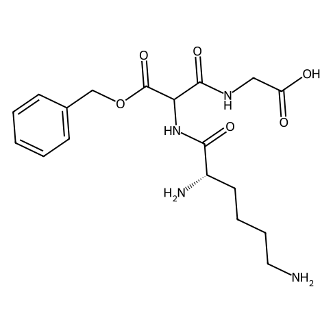 NCCCC[C@H](N)C(=O)NC(C(=O)NCC(=O)O)C(=O)OCc1ccccc1